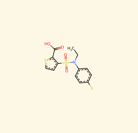 CCN(c1ccc(F)cc1)S(=O)(=O)c1ccsc1C(=O)O